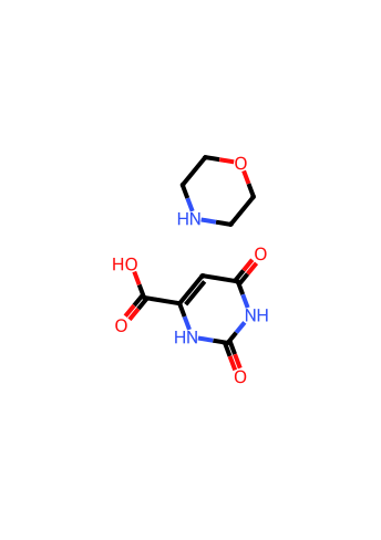 C1COCCN1.O=C(O)c1cc(=O)[nH]c(=O)[nH]1